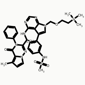 Cc1ccn2nc([C@H](C)Nc3ncnc4c3c(-c3cccc(NS(C)(=O)=O)c3)cn4COCC[Si](C)(C)C)n(-c3ccccc3)c(=O)c12